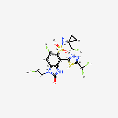 O=c1[nH]c2c(-c3nnc(C(F)F)s3)c(S(=O)(=O)NC3(CF)CC3)c(F)cc2n1CCF